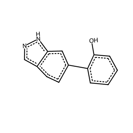 Oc1ccccc1-c1ccc2cn[nH]c2c1